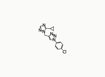 Clc1ccc(-n2cc(Cn3ncnc3C3CC3)nn2)cc1